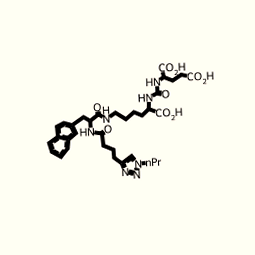 CCCn1cc(CCCC(=O)NC(Cc2ccc3ccccc3c2)C(=O)NCCCCC(NC(=O)NC(CCC(=O)O)C(=O)O)C(=O)O)nn1